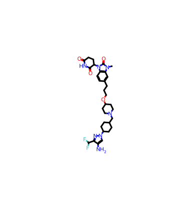 Cn1c(=O)n(C2CCC(=O)NC2=O)c2ccc(CCCOC3CCN(CC4CCC(n5cc(N)c(C(F)F)n5)CC4)CC3)cc21